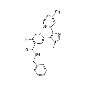 Cn1cnc(-c2cc(C#N)ccn2)c1-c1ccc(F)c(C(=O)NCc2ccccc2)c1